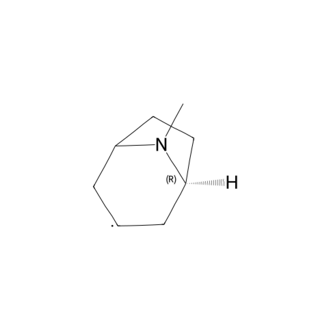 CN1C2C[CH]C[C@@H]1CC2